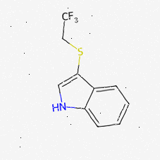 FC(F)(F)CSc1c[nH]c2ccccc12